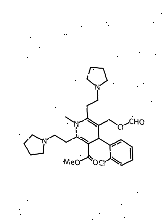 COC(=O)C1=C(CCN2CCCC2)N(C)C(CCN2CCCC2)=C(COC=O)C1c1ccccc1Cl